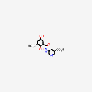 O=C(O)c1cncc(NC(=O)c2cc(O)cc(C(=O)O)c2O)c1